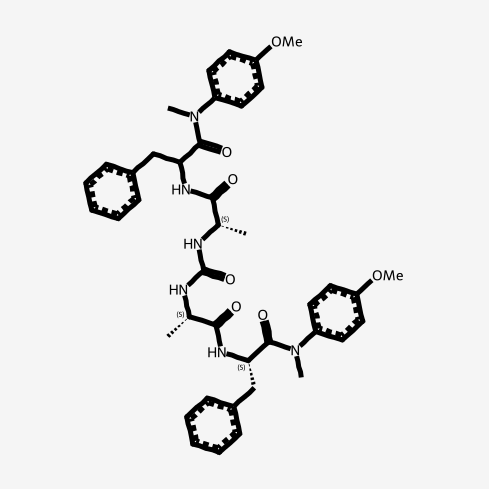 COc1ccc(N(C)C(=O)C(Cc2ccccc2)NC(=O)[C@H](C)NC(=O)N[C@@H](C)C(=O)N[C@@H](Cc2ccccc2)C(=O)N(C)c2ccc(OC)cc2)cc1